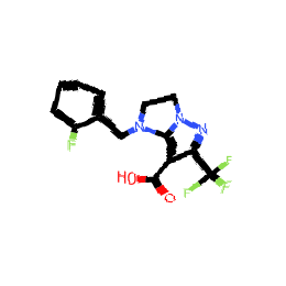 O=C(O)c1c(C(F)(F)F)nn2c1N(Cc1ccccc1F)CC2